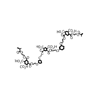 C=C(C)C(=O)OCCOC(=O)c1cc(C(=O)OCCOc2cccc(OCCOC(=O)c3cc(C(=O)OCCOc4cccc(OCCOC(=O)c5cc(C(=O)OCCOC(=O)C(=C)C)c(C(=O)O)cc5C(=O)O)c4)c(C(=O)O)cc3C(=O)O)c2)c(C(=O)O)cc1C(=O)O